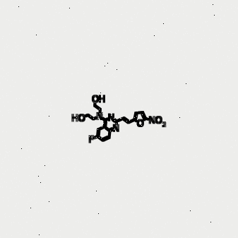 O=[N+]([O-])c1ccc(C=Cc2nc(N(CCO)CCO)c3cc(F)ccc3n2)o1